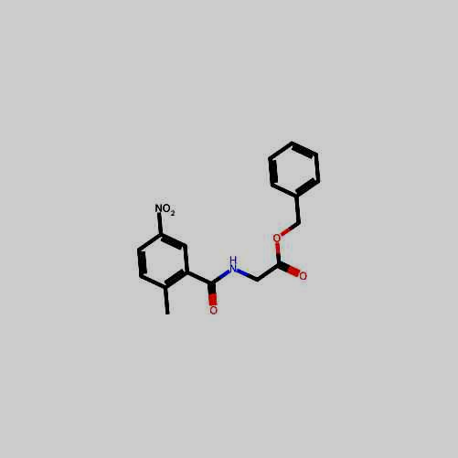 Cc1ccc([N+](=O)[O-])cc1C(=O)NCC(=O)OCc1ccccc1